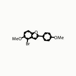 COc1ccc(-c2cc3c(Br)c(OC)ccc3o2)cc1